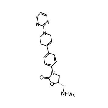 CC(=O)NC[C@H]1CN(c2ccc(C3=CCN(c4ncccn4)CC3)cc2)C(=O)O1